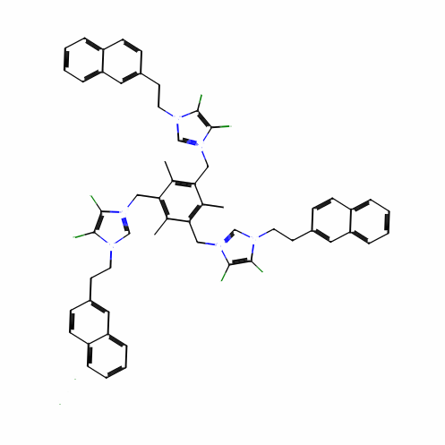 Cc1c(C[n+]2cn(CCc3ccc4ccccc4c3)c(Cl)c2Cl)c(C)c(C[n+]2cn(CCc3ccc4ccccc4c3)c(Cl)c2Cl)c(C)c1C[n+]1cn(CCc2ccc3ccccc3c2)c(Cl)c1Cl.[Br-].[Br-].[Br-]